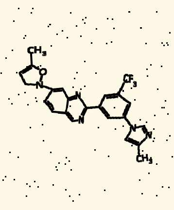 CC1=CCN(c2ccc3cnc(-c4cc(-n5cnc(C)c5)cc(C(F)(F)F)c4)nc3c2)O1